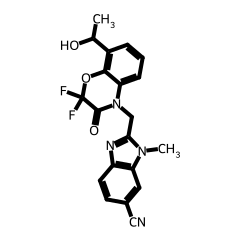 CC(O)c1cccc2c1OC(F)(F)C(=O)N2Cc1nc2ccc(C#N)cc2n1C